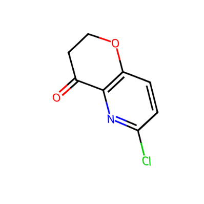 O=C1CCOc2ccc(Cl)nc21